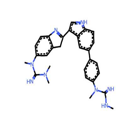 CNC(=N)N(C)c1ccc(-c2ccc3[nH]cc(C4=Nc5ccc(N(C)C(=N)N(C)C)cc5C4)c3c2)cc1